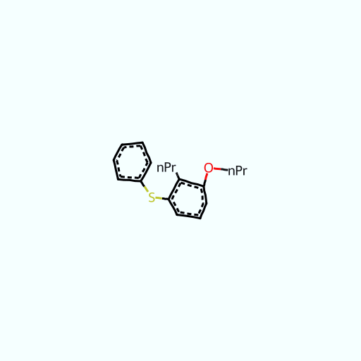 CCCOc1cccc(Sc2ccccc2)c1CCC